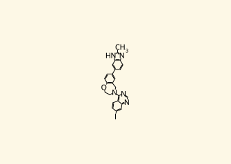 Cc1nc2ccc(-c3ccc4c(c3)CN(c3ncnc5cc(I)ccc35)CCO4)cc2[nH]1